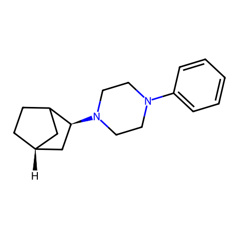 c1ccc(N2CCN([C@H]3C[C@@H]4CCC3C4)CC2)cc1